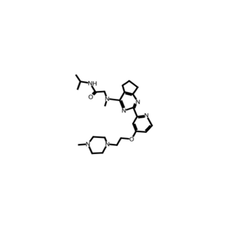 CC(C)NC(=O)CN(C)c1nc(-c2cc(OCCN3CCN(C)CC3)ccn2)nc2c1CCC2